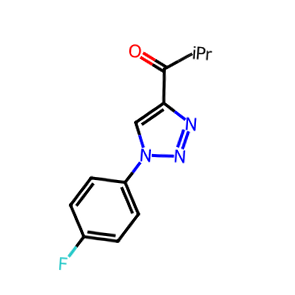 CC(C)C(=O)c1cn(-c2ccc(F)cc2)nn1